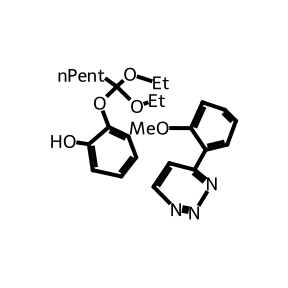 CCCCCC(OCC)(OCC)Oc1ccccc1O.COc1ccccc1-c1ccnnn1